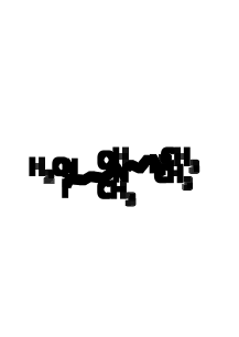 C=N/C(I)=C\C=C(/C)C(=O)NCCCN(C)C